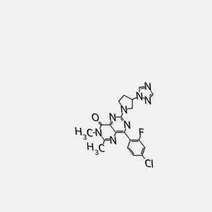 Cc1nc2c(-c3ccc(Cl)cc3F)nc(N3CCC(n4cncn4)C3)nc2c(=O)n1C